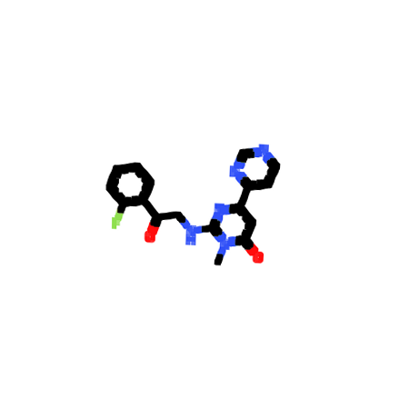 Cn1c(NCC(=O)c2ccccc2F)nc(-c2ccncn2)cc1=O